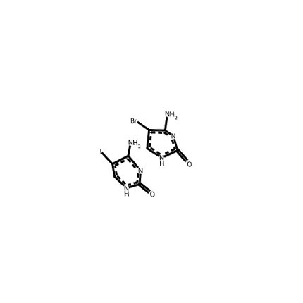 Nc1nc(=O)[nH]cc1Br.Nc1nc(=O)[nH]cc1I